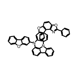 c1ccc(-c2nc3c(ccc4oc5cc(N(c6ccc7c(c6)oc6ccccc67)c6cccc7c8ccccc8n(-c8ccccc8)c67)ccc5c43)o2)cc1